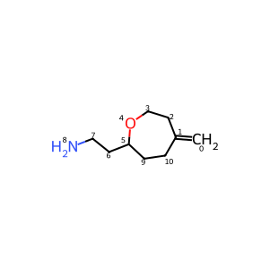 C=C1CCOC(CCN)CC1